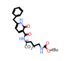 CC(C)(C)OC(=O)NCCC[C@H](NC(=O)c1ccc(Cc2ccccc2)[nH]c1=O)C(=O)O